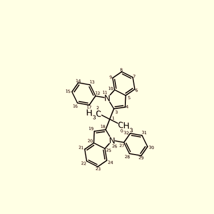 CC(C)(c1cc2ccccc2n1-c1ccccc1)c1cc2ccccc2n1-c1ccccc1